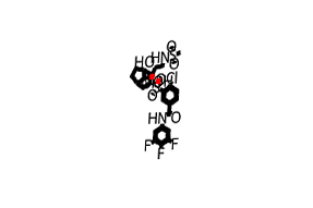 CS(=O)(=O)NCC(O)C(O)[C@]1(O)C2CCC1C[C@@H](S(=O)(=O)c1cc(C(=O)Nc3cc(F)c(F)c(F)c3)ccc1Cl)C2